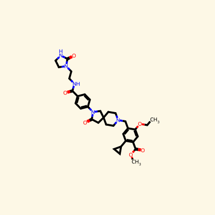 CCOc1cc(C(=O)OC)c(C2CC2)cc1CN1CCC2(CC1)CC(=O)N(c1ccc(C(=O)NCCN3CCNC3=O)cc1)C2